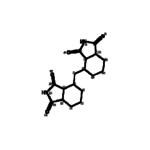 O=C1NC(=O)C2C(CC3CCCC4C(=O)NC(=O)C34)CCCC12